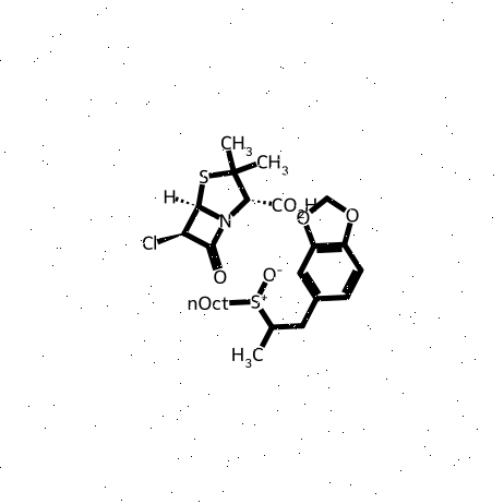 CC1(C)S[C@@H]2[C@H](Cl)C(=O)N2[C@H]1C(=O)O.CCCCCCCC[S+]([O-])C(C)Cc1ccc2c(c1)OCO2